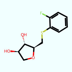 O[C@H]1[C@H](O)CO[C@@H]1CSc1ccccc1F